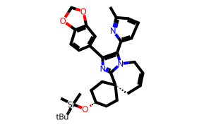 Cc1cccc(-c2c(-c3ccc4c(c3)OCO4)nc3n2CC=CC[C@]32CC[C@@H](O[Si](C)(C)C(C)(C)C)CC2)n1